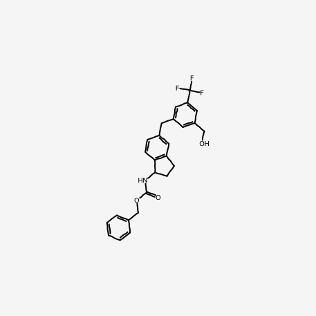 O=C(NC1CCc2cc(Cc3cc(CO)cc(C(F)(F)F)c3)ccc21)OCc1ccccc1